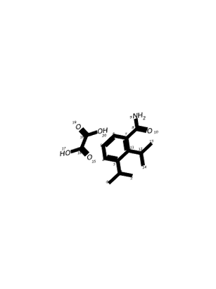 CC(C)c1cccc(C(N)=O)c1C(C)C.O=C(O)C(=O)O